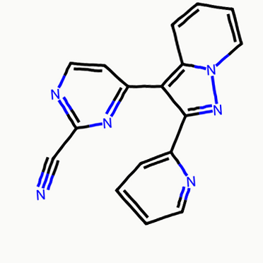 N#Cc1nccc(-c2c(-c3ccccn3)nn3ccccc23)n1